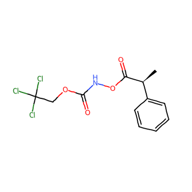 C[C@H](C(=O)ONC(=O)OCC(Cl)(Cl)Cl)c1ccccc1